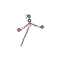 O=CCCCCCCCCCCCCCCCOC(=O)C(CCCCCCOCc1ccccc1)(CCCCCCOCc1ccccc1)c1ccc(-c2cccc(F)c2F)cc1